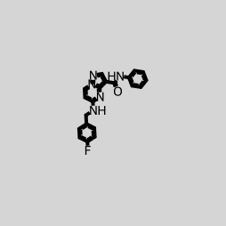 O=C(Nc1ccccc1)c1cnn2ccc(NCc3ccc(F)cc3)nc12